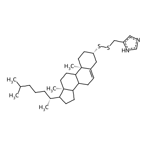 CC(C)CCC[C@@H](C)C1CCC2C3CC=C4C[C@@H](SSCc5cnc[nH]5)CC[C@]4(C)C3CC[C@@]21C